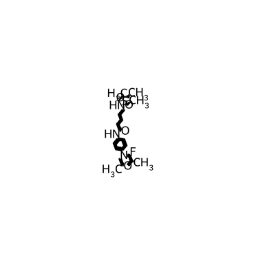 C[C@H]1CN(c2ccc(NC(=O)CCCCNS(=O)(=O)C(C)(C)C)cc2)C(F)[C@@H](C)O1